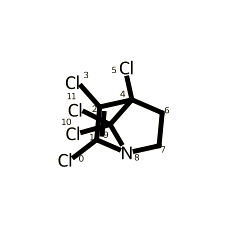 ClC1=C(Cl)C2(Cl)CCN1C2(Cl)Cl